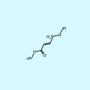 CCCOC(=O)C=C[SiH2]OC(C)C